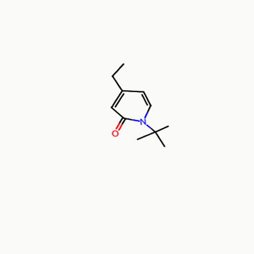 CCc1ccn(C(C)(C)C)c(=O)c1